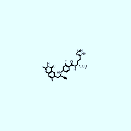 C#CC(Cc1cc2c(=O)[nH]c(C)nc2cc1C)Nc1ccc(C(=O)N[C@@H](CCc2nnn[nH]2)C(=O)O)c(F)c1